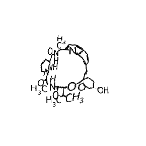 CC(C)[C@@H]1OC(=O)[C@]2(/C=C/c3ccc4ccc(nc4c3)[C@@H](C)NC(=O)C3CCCN(N3)C(=O)[C@H](C)NC1=O)CC[C@@H](O)CC2